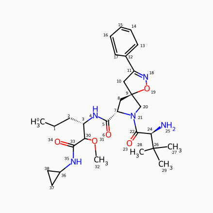 CCC[C@H](NC(=O)[C@@H]1C[C@]2(CC(c3ccccc3)=NO2)CN1C(=O)[C@@H](N)C(C)(C)C)C(OC)C(=O)NC1CC1